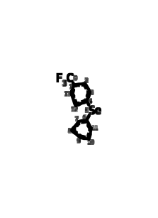 FC(F)(F)c1ccc([Se]c2ccccc2)cc1